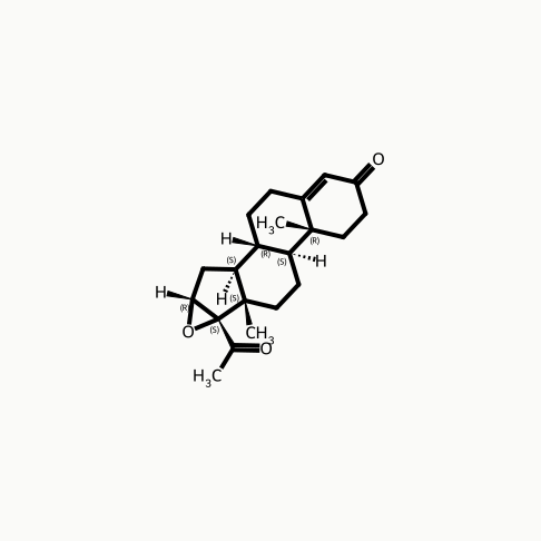 CC(=O)[C@@]12O[C@@H]1C[C@H]1[C@@H]3CCC4=CC(=O)CC[C@]4(C)[C@H]3CC[C@@]12C